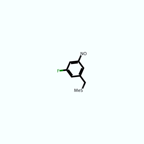 CSCc1cc(F)cc(N=O)c1